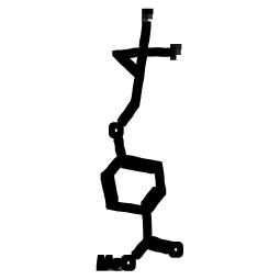 COC(=O)c1ccc(OCC2CC2(F)F)cc1